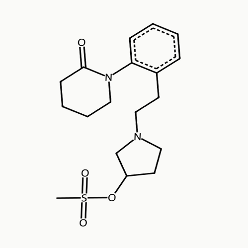 CS(=O)(=O)OC1CCN(CCc2ccccc2N2CCCCC2=O)C1